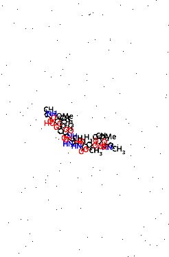 CO[C@@H]1[C@@H](OC(=O)c2ccc(C)[nH]2)[C@@H](O)[C@@H](Oc2ccc3c(O)c(NC(=O)c4c[nH]c(C(=O)Nc5c(O)c6ccc(O[C@H]7OC(C)(C)[C@H](OC)[C@@H](OC(=O)c8ccc(C)[nH]8)[C@H]7O)c(C)c6oc5=O)c4C)c(=O)oc3c2C)OC1(C)C